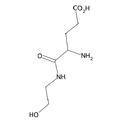 NC(CCC(=O)O)C(=O)NCCO